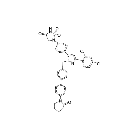 O=C1CN(c2ccc(-n3cc(-c4ccc(Cl)cc4Cl)nc3Cc3ccc(-c4ccc(N5CCCCC5=O)cc4)cc3)cc2)S(=O)(=O)N1